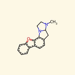 CN1CCN2c3c(ccc4c3oc3ccccc34)CC12